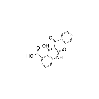 O=C(c1ccccc1)c1c(O)c2c(C(=O)O)cccc2[nH]c1=O